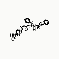 COC(COP(NCC(=O)OCc1ccccc1)Oc1ccccc1)CC(C)CN(C)/C=C\C(=O)NC=O